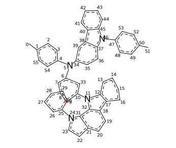 Cc1ccc(N(c2cccc(-n3c4ccccc4c4ccc5ccn(-c6ccccc6)c5c43)c2)c2ccc3c(c2)c2ccccc2n3-c2ccc(C)cc2)cc1